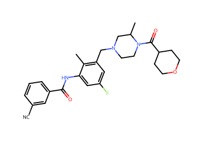 Cc1c(CN2CCN(C(=O)C3CCOCC3)C(C)C2)cc(F)cc1NC(=O)c1cccc(C#N)c1